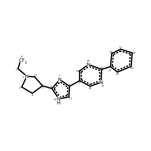 FC(F)(F)CN1CCC(c2nc(-c3cnc(-c4ccccc4)nc3)c[nH]2)C1